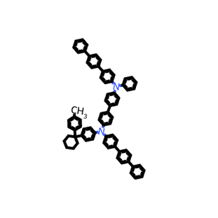 Cc1ccc(C2(c3ccc(N(c4ccc(-c5ccc(-c6ccccc6)cc5)cc4)c4ccc(-c5ccc(N(c6ccccc6)c6ccc(-c7ccc(-c8ccccc8)cc7)cc6)cc5)cc4)cc3)CCCCC2)cc1